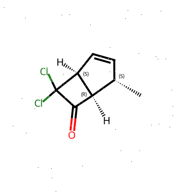 C[C@H]1C=C[C@H]2[C@@H]1C(=O)C2(Cl)Cl